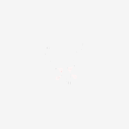 C=C(C(=O)OCCCCCC)C(=O)OCCCCCC